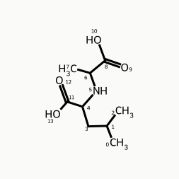 CC(C)CC(NC(C)C(=O)O)C(=O)O